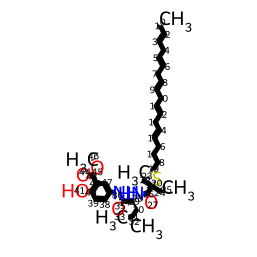 CCC=CCC=CCC=CCC=CCC=CCCCCSC(CC)(CC)C(=O)N[C@@H](CC(C)C)C(=O)Nc1ccc(O)c(C(=O)OC)c1